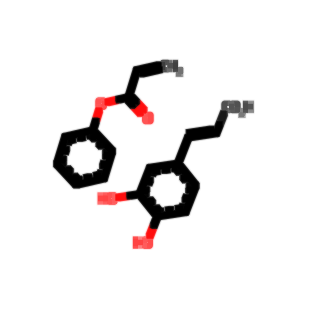 C=CC(=O)Oc1ccccc1.O=C(O)/C=C/c1ccc(O)c(O)c1